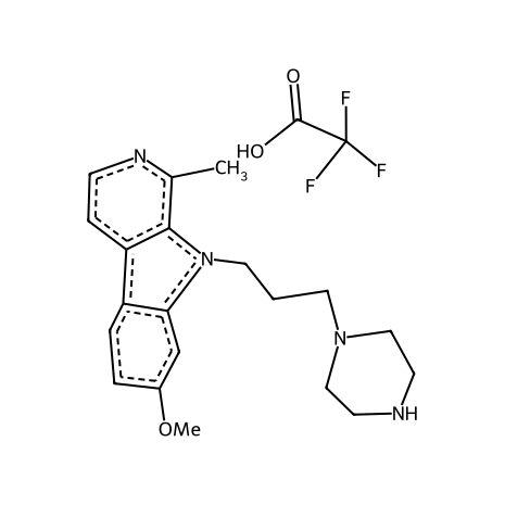 COc1ccc2c3ccnc(C)c3n(CCCN3CCNCC3)c2c1.O=C(O)C(F)(F)F